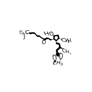 CCCCCC(=O)CC[C@@H]1[C@H](C=CC(C)=CC(=O)OC)[C@@H](O)C[C@H]1O